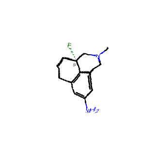 CN1Cc2cc(N)cc3c2[C@@](F)(CCC3)C1